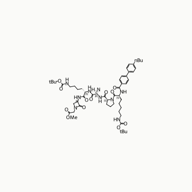 CCCCc1ccc(-c2ccc(C(=O)N[C@@H](CCCCCNC(=O)OC(C)(C)C)C(=O)N3CCC[C@H]3C(=O)N[C@@H](N)C(=O)N[C@@H](CCCCNC(=O)OC(C)(C)C)C(=O)N[C@@H]3CN(CC(=O)OC)C3=O)cc2)cc1